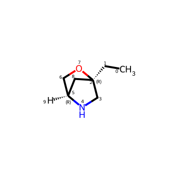 CC[C@@]12CN[C@@H](CO1)C2